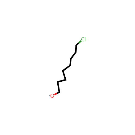 [O]CCCCCCCCCl